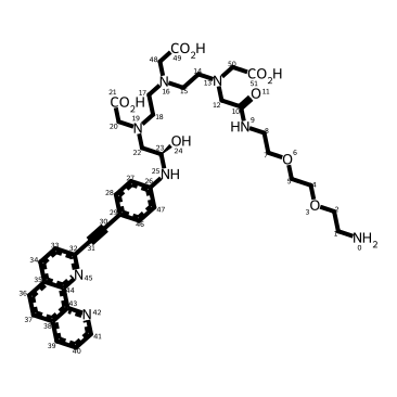 NCCOCCOCCNC(=O)CN(CCN(CCN(CC(=O)O)C[C@@H](O)Nc1ccc(C#Cc2ccc3ccc4cccnc4c3n2)cc1)CC(=O)O)CC(=O)O